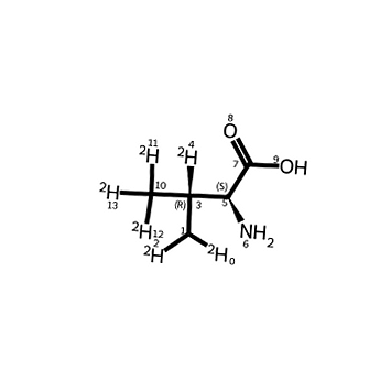 [2H]C([2H])[C@@]([2H])([C@H](N)C(=O)O)C([2H])([2H])[2H]